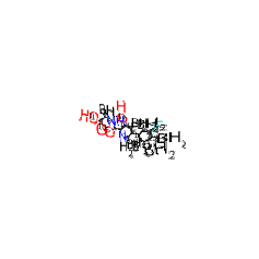 Bc1nc(C(=O)NC(B)C(=O)O)c(O)c(B)c1-c1c(B)c(B)c(B)c(F)c1B